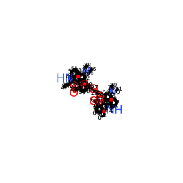 CCCc1[nH]c2ccccc2c1C1(c2ccc(N(CC)CC)cc2OCCOCCOc2cc(N(CC)CC)ccc2C2(c3c(CCC)[nH]c4ccccc34)OC(=O)c3ccccc32)OC(=O)c2ccccc21